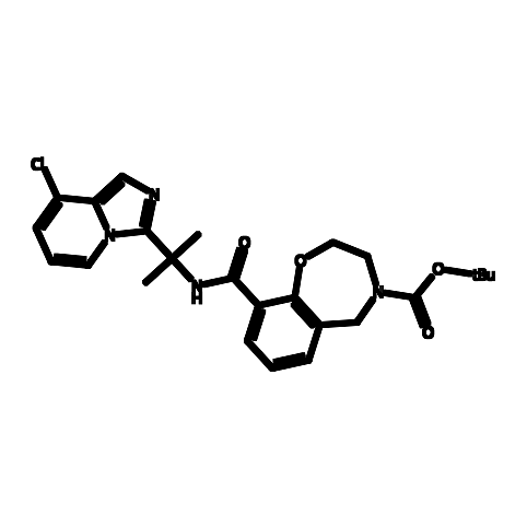 CC(C)(C)OC(=O)N1CCOc2c(cccc2C(=O)NC(C)(C)c2ncc3c(Cl)cccn23)C1